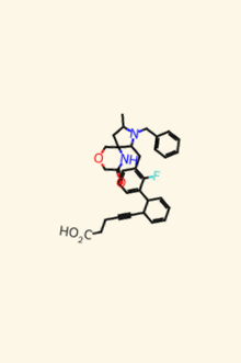 CC1CC2(COCC(=O)N2)C(Cc2cccc(C3C=CC=CC3C#CCCC(=O)O)c2F)N1Cc1ccccc1